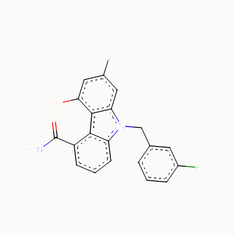 CCc1cc(O)c2c3c(C(N)=O)cccc3n(Cc3cccc(F)c3)c2c1